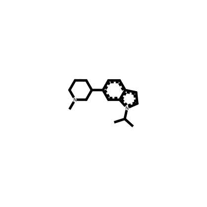 CC(C)n1ccc2ccc(C3CCCN(C)C3)cc21